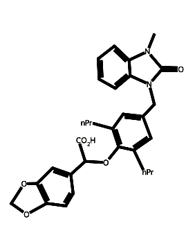 CCCc1cc(Cn2c(=O)n(C)c3ccccc32)cc(CCC)c1OC(C(=O)O)c1ccc2c(c1)OCO2